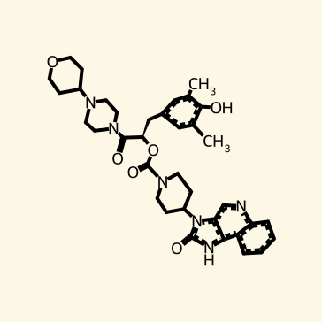 Cc1cc(C[C@@H](OC(=O)N2CCC(n3c(=O)[nH]c4c5ccccc5ncc43)CC2)C(=O)N2CCN(C3CCOCC3)CC2)cc(C)c1O